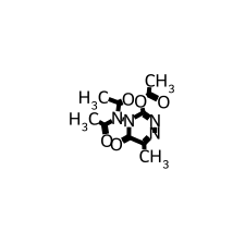 CC(=O)Oc1nnc(C)c(=O)n1N(C(C)=O)C(C)=O